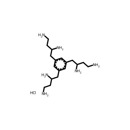 Cl.NCCC(N)Cc1cc(CC(N)CCN)cc(CC(N)CCN)c1